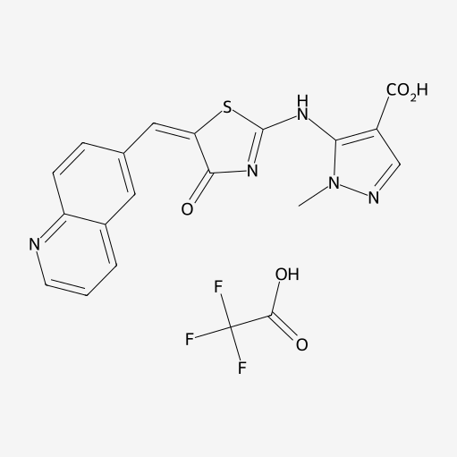 Cn1ncc(C(=O)O)c1NC1=NC(=O)C(=Cc2ccc3ncccc3c2)S1.O=C(O)C(F)(F)F